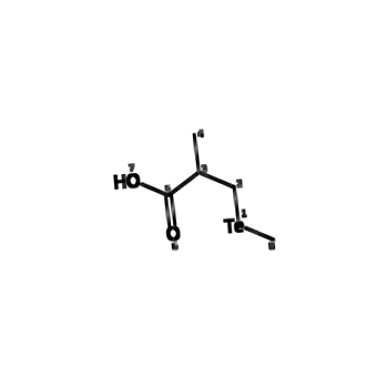 C[Te]CC(C)C(=O)O